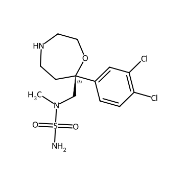 CN(C[C@@]1(c2ccc(Cl)c(Cl)c2)CCNCCO1)S(N)(=O)=O